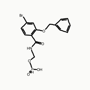 O=C(NCO[PH](=O)O)c1ccc(Br)cc1OCc1ccccc1